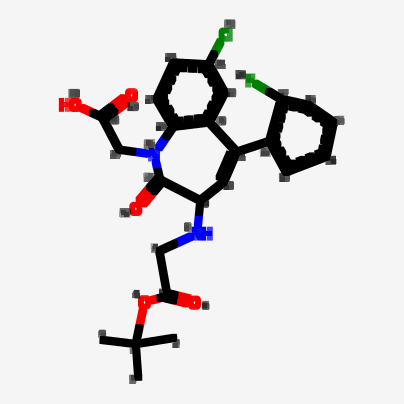 CC(C)(C)OC(=O)CNC1C=C(c2ccccc2F)c2cc(Cl)ccc2N(CC(=O)O)C1=O